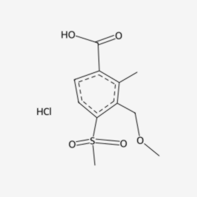 COCc1c(S(C)(=O)=O)ccc(C(=O)O)c1C.Cl